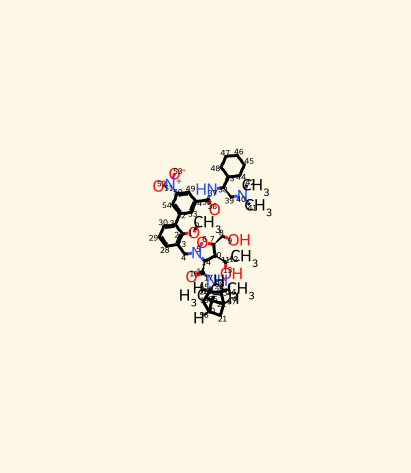 COc1c(CN2O[C@@H](CO)[C@@H]([C@H](C)O)[C@H]2C(=O)N[C@H]2C[C@H]3C[C@@H]([C@@H]2C)C3(C)C)cccc1-c1cc(C(=O)N[C@H](CN(C)C)C2CCCCC2)cc([N+](=O)[O-])c1